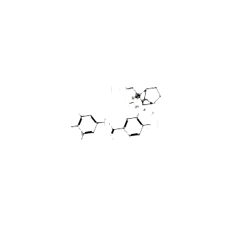 O=C(Nc1cc(F)c(F)c(F)c1)c1ccc(Cl)c(S(=O)(=O)[C@@H]2C3CCC2[C@@](O)(CO)C3)c1